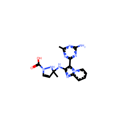 Cc1nc(N)nc(-c2c(NC3(C)C=CN(C(=O)O)N3)nc3ccccn23)n1